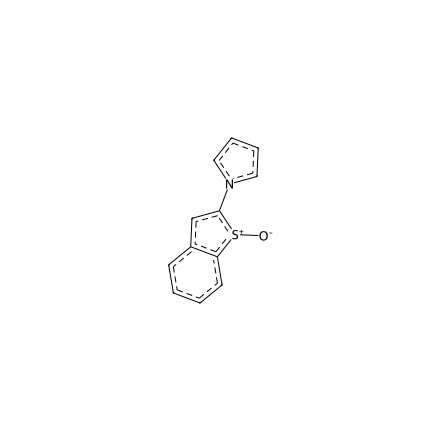 [O-][s+]1c(-n2cccc2)cc2ccccc21